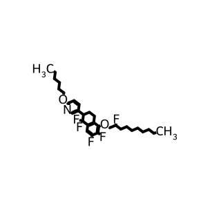 CCCCCCCCC(F)COc1c(F)c(F)cc2c1CCC(c1ccc(OCCCCCC)nc1)C2(F)F